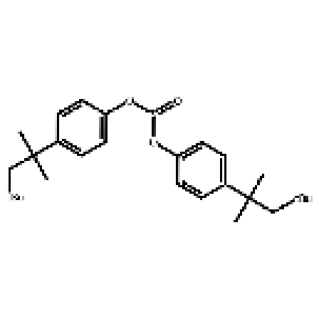 CC(C)(C)CC(C)(C)c1ccc(OS(=O)Oc2ccc(C(C)(C)CC(C)(C)C)cc2)cc1